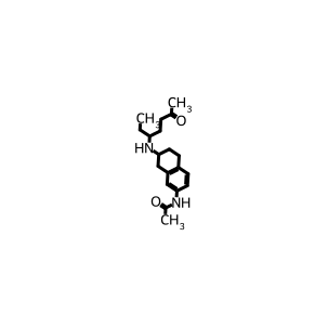 CCC(CCC(C)=O)NC1CCc2ccc(NC(C)=O)cc2C1